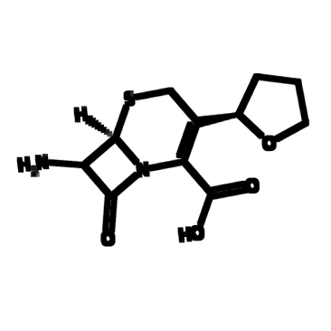 NC1C(=O)N2C(C(=O)O)=C([C@H]3CCCO3)CS[C@H]12